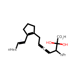 CCCCCC/C=C/C1=C(CC=C=CC(CCC)C(O)(O)C(=O)O)CCC1